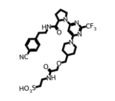 N#Cc1ccc(CCNC(=O)C2CCCN2c2cc(N3CCC(COCC(=O)NCCS(=O)(=O)O)CC3)nc(C(F)(F)F)n2)cc1